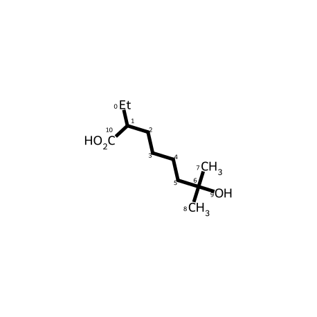 CCC(CCCCC(C)(C)O)C(=O)O